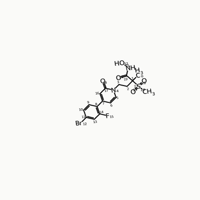 CC(CCn1ccc(-c2ccc(Br)cc2F)cc1=O)(C(=O)NO)S(C)(=O)=O